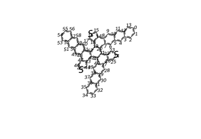 c1ccc2cc3cc4c(cc3cc2c1)c1cscc1c1c4c2c3cscc3c3cc4cc5ccccc5cc4cc3c2c2c3cscc3c3cc4cc5ccccc5cc4cc3c12